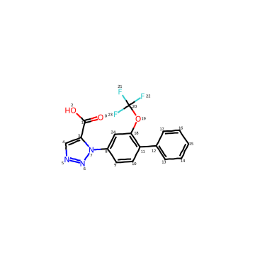 O=C(O)c1cnnn1-c1ccc(-c2ccccc2)c(OC(F)(F)F)c1